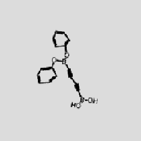 OB(O)C#CC#CB(Oc1ccccc1)Oc1ccccc1